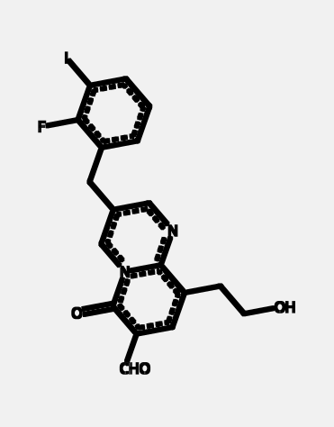 O=Cc1cc(CCO)c2ncc(Cc3cccc(I)c3F)cn2c1=O